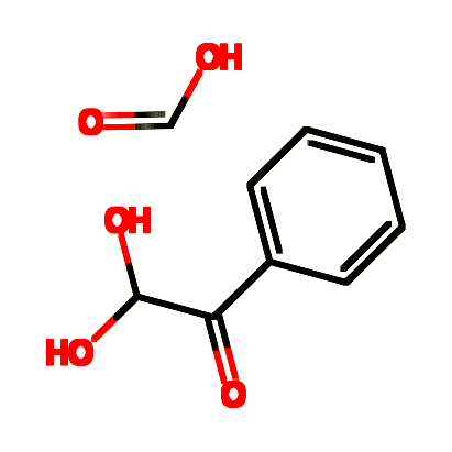 O=C(c1ccccc1)C(O)O.O=CO